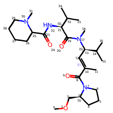 COC[C@@H]1CCCN1C(=O)/C(C)=C/[C@H](C(C)C)N(C)C(=O)[C@@H](NC(=O)C1CCCCN1C)C(C)C